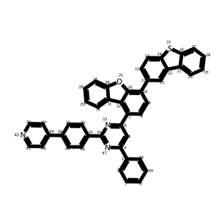 c1ccc(-c2cc(-c3ccc(-c4ccc5sc6ccccc6c5c4)c4oc5ccccc5c34)nc(-c3ccc(-c4ccncc4)cc3)n2)cc1